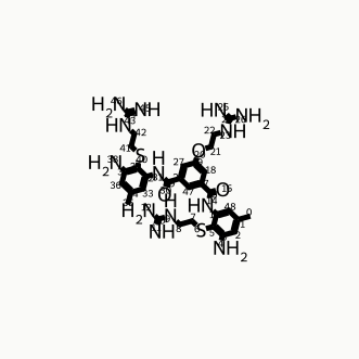 Cc1cc(N)c(SCCNC(=N)N)c(NC(=O)c2cc(OCCNC(=N)N)cc(C(=O)Nc3cc(C)cc(N)c3SCCNC(=N)N)c2)c1